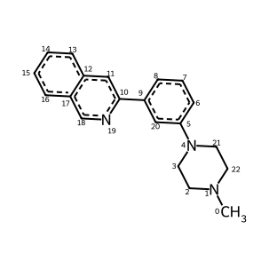 CN1CCN(c2cccc(-c3cc4ccccc4cn3)c2)CC1